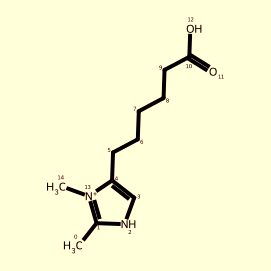 Cc1[nH]cc(CCCCCC(=O)O)[n+]1C